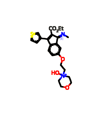 CCOC(=O)C1=C(c2ccsc2)c2ccc(OCC[N+]3(O)CCOCC3)cc2/C1=N\C